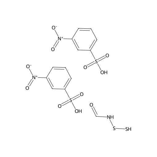 O=CNSS.O=[N+]([O-])c1cccc(S(=O)(=O)O)c1.O=[N+]([O-])c1cccc(S(=O)(=O)O)c1